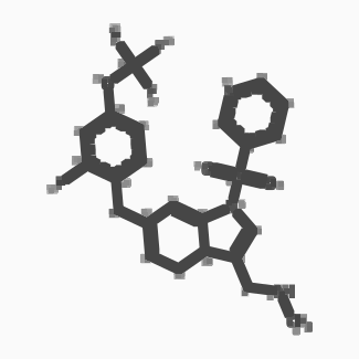 CNCC1=CN(S(=O)(=O)c2cccnc2)C2=CC(Cc3ccc(OC(F)(F)F)cc3F)=CCC12